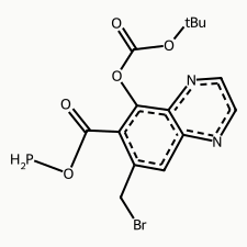 CC(C)(C)OC(=O)Oc1c(C(=O)OP)c(CBr)cc2nccnc12